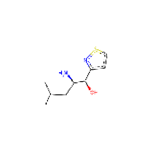 CC(C)C[C@@H](N)[C@H](O)c1ccsn1